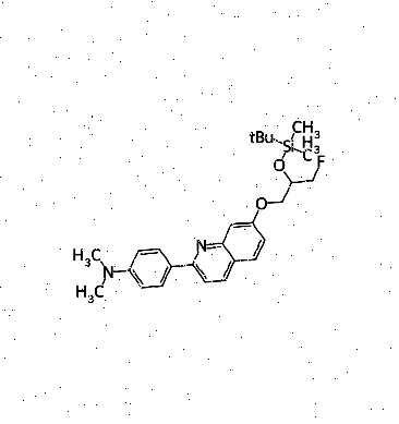 CN(C)c1ccc(-c2ccc3ccc(OCC(CF)O[Si](C)(C)C(C)(C)C)cc3n2)cc1